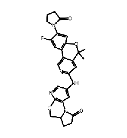 CC1(C)Oc2cc(N3CCCC3=O)c(F)cc2-c2cnc(Nc3cnc4c(c3)N3C(=O)CCC3CO4)cc21